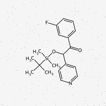 CC(C)(C)[Si](C)(C)OC(C(=O)c1cccc(F)c1)c1ccncc1